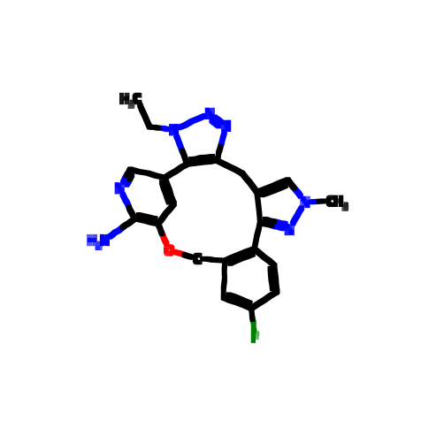 CCn1nnc2c1-c1cnc(N)c(c1)OCc1cc(F)ccc1-c1nn(C)cc1C2